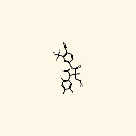 Cc1cc(F)c(N2C(=S)N(c3ccc(C#N)c(C(F)(F)F)c3)C(=O)C2(C)CCCl)cc1C